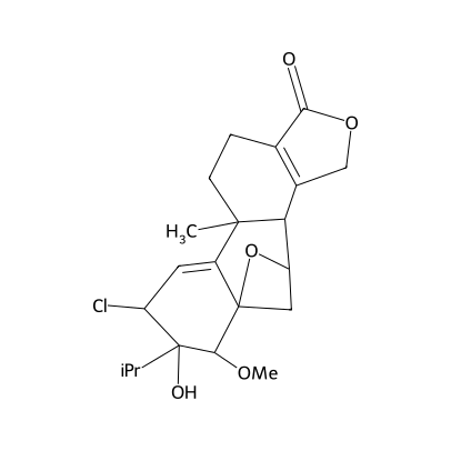 COC1C23CC(O2)C2C4=C(CCC2(C)C3=CC(Cl)C1(O)C(C)C)C(=O)OC4